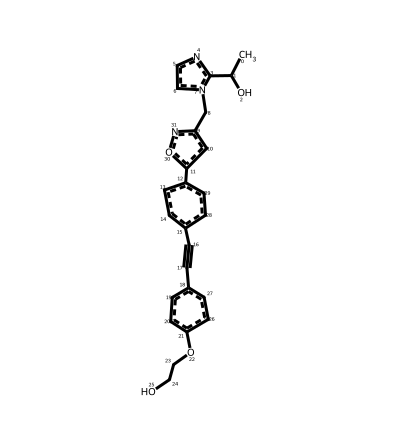 CC(O)c1nccn1Cc1cc(-c2ccc(C#Cc3ccc(OCCO)cc3)cc2)on1